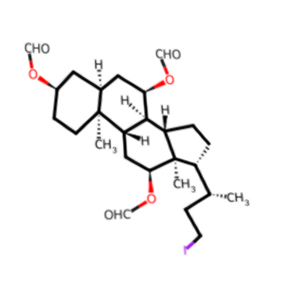 C[C@H](CCI)[C@H]1CC[C@H]2[C@@H]3[C@H](OC=O)C[C@@H]4C[C@H](OC=O)CC[C@]4(C)[C@H]3C[C@H](OC=O)[C@]12C